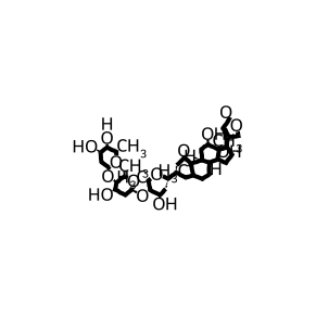 C[C@H]1O[C@@H](O[C@@H]2[C@@H](O)C[C@H](O[C@@H]3[C@@H](O)C[C@@H]([C@@H]4CC(=O)[C@@]5(C)C(CC[C@@H]6[C@@H]5C[C@@H](O)[C@]5(C)C(C7=CC(=O)OC7)CC[C@]65O)C4)O[C@@H]3C)O[C@@H]2C)C[C@H](O)[C@H]1O